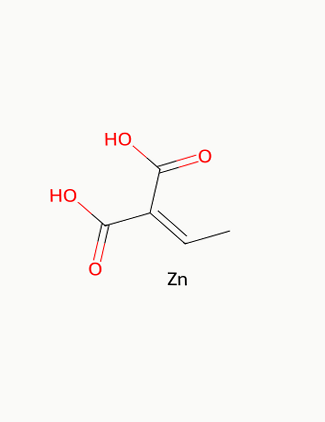 CC=C(C(=O)O)C(=O)O.[Zn]